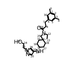 Cc1cc(C)cc(CCC(=O)N2CC[C@]3(CC[C@@H](Nc4cnn(CCO)c4)CC3)C2)c1